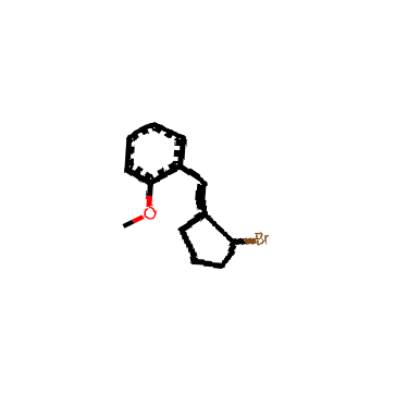 COc1ccccc1C=C1CCCC1Br